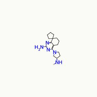 CN[C@@H]1CCN(c2nc(N)nc3c2CCCC32CCCC2)C1